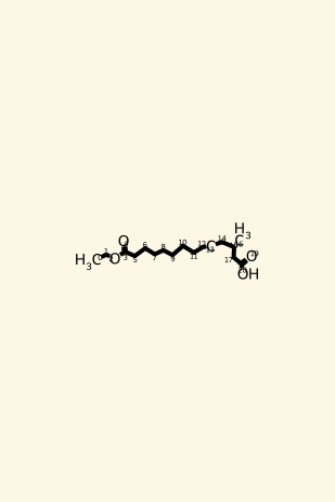 CCOC(=O)CCCCCCCCCCC(C)CC(=O)O